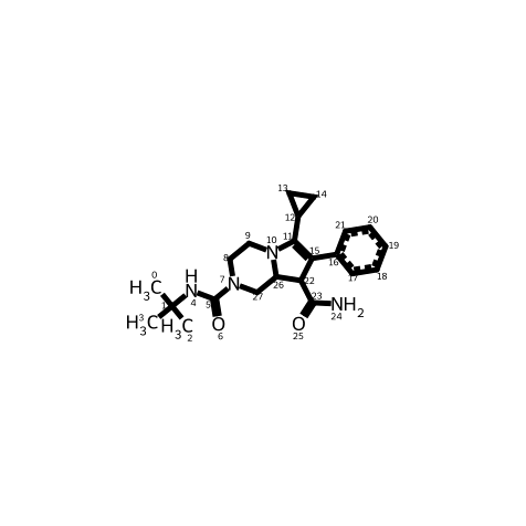 CC(C)(C)NC(=O)N1CCN2C(C3CC3)=C(c3ccccc3)C(C(N)=O)C2C1